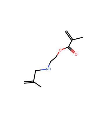 C=C(C)CNCCOC(=O)C(=C)C